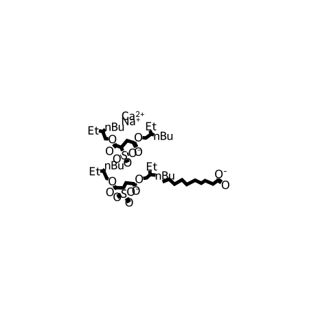 CCCCC(CC)COC(=O)CC(C(=O)OCC(CC)CCCC)S(=O)(=O)[O-].CCCCC(CC)COC(=O)CC(C(=O)OCC(CC)CCCC)S(=O)(=O)[O-].CCCCCCCCCC(=O)[O-].[Ca+2].[Na+]